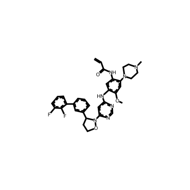 C=CC(=O)Nc1cc(Nc2cc(N3OCCC3c3cccc(-c4cccc(F)c4F)c3)ncn2)c(OC)cc1N1CCN(C)CC1